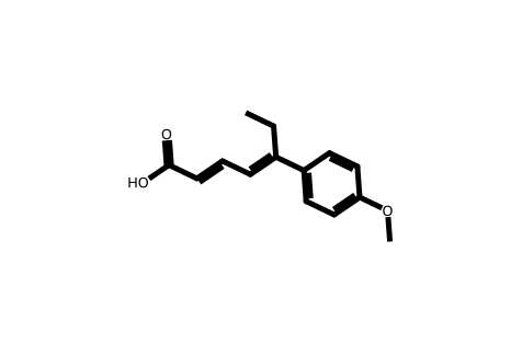 CCC(=CC=CC(=O)O)c1ccc(OC)cc1